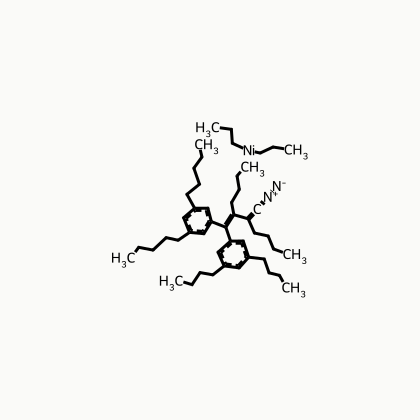 CCCCCc1cc(CCCCC)cc(C(=C(CCCC)C(=C=[N+]=[N-])CCCC)c2cc(CCCC)cc(CCCC)c2)c1.CC[CH2][Ni][CH2]CC